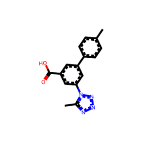 Cc1ccc(-c2cc(C(=O)O)cc(-n3nnnc3C)c2)cc1